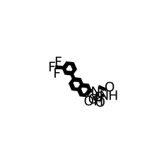 O=C1CN(c2cc3cc(-c4cccc(C(F)(F)F)c4)ccc3cc2O)S(=O)(=O)N1